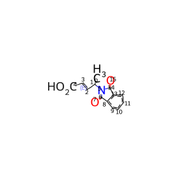 CC(/C=C/C(=O)O)N1C(=O)c2ccccc2C1=O